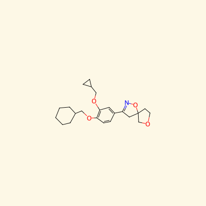 c1cc(OCC2CCCCC2)c(OCC2CC2)cc1C1=NOC2(CCOC2)C1